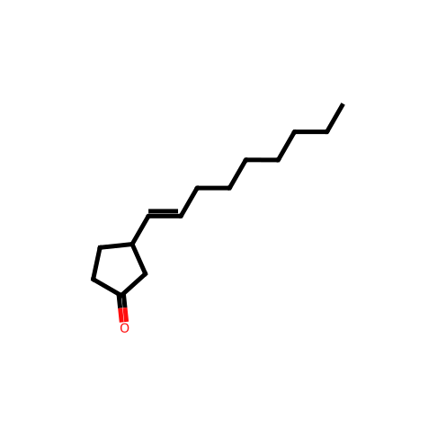 CCCCCCC/C=C/C1CCC(=O)C1